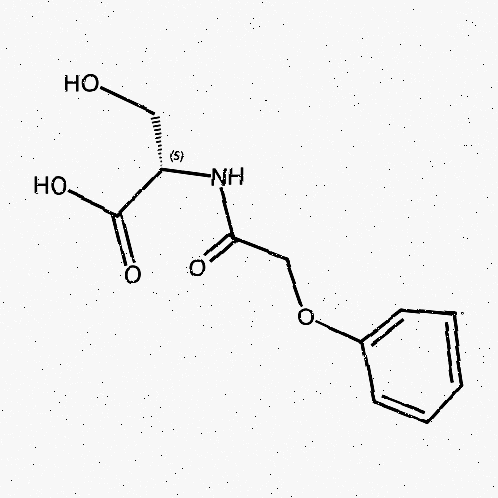 O=C(COc1c[c]ccc1)N[C@@H](CO)C(=O)O